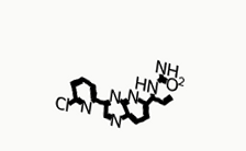 C=CC(NC(N)=O)c1ccc2ncc(-c3cccc(Cl)n3)nc2n1